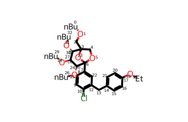 CCCCOCC12COC(c3ccc(Cl)c(Cc4ccc(OCC)cc4)c3)(O1)[C@H](OCCCC)[C@@H](OCCCC)[C@@H]2OCCCC